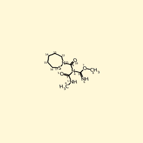 CNC(=O)N(C(=N)OC)C(=O)N1CCCCCS1